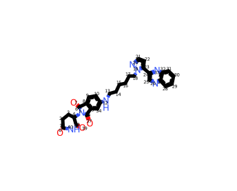 O=C1CCC(N2C(=O)c3ccc(NCCCCCCn4nccc4-c4cnc5ccccc5n4)cc3C2=O)C(=O)N1